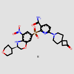 NC(=O)c1ccc(N2CCC3(CC2)CC(=O)C3)nc1S(=O)(=O)c1cc2c(c([N+](=O)[O-])c1)N[C@H](C1CCOCC1)CO2.[B]